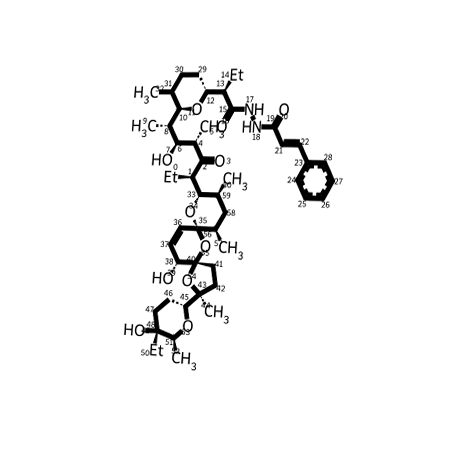 CC[C@@H](C(=O)[C@@H](C)[C@@H](O)[C@H](C)[C@@H]1O[C@@H]([C@@H](CC)C(=O)NNC(=O)/C=C/c2ccccc2)CCC1C)[C@H]1O[C@]2(C=C[C@@H](O)[C@]3(CC[C@@](C)([C@H]4CC[C@](O)(CC)[C@H](C)O4)O3)O2)[C@H](C)C[C@@H]1C